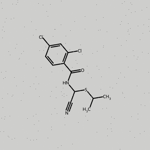 CC(C)SC(C#N)NC(=O)c1ccc(Cl)cc1Cl